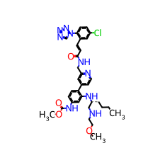 CCCC[C@H](CNCCOC)Nc1cc(NC(=O)OC)ccc1-c1ccnc(CNC(=O)/C=C/c2cc(Cl)ccc2-n2cnnn2)c1